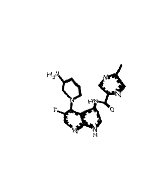 Cc1cnc(C(=O)Nc2c[nH]c3ncc(F)c(N4CCCC(N)C4)c23)cn1